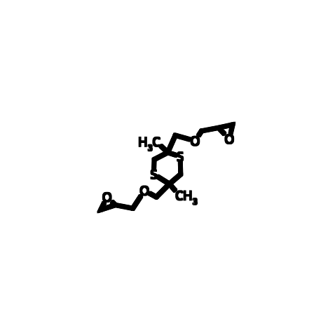 CC1(COCC2CO2)CSC(C)(COCC2CO2)CS1